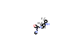 C[C@H]1c2c([nH]c3ccc(C(F)(F)F)cc23)C[C@H]2CCN(CCC3(/C=C/CN4CCCC4)CCOCC3)C[C@@H]21